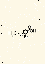 CCCOc1ccc(C(=O)O)cc1Br